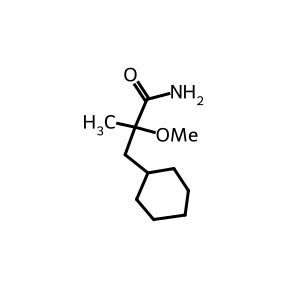 COC(C)(CC1CCCCC1)C(N)=O